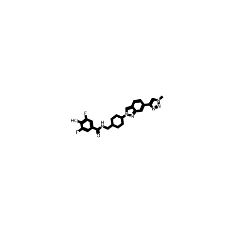 Cn1cc(-c2ccc3cn(C4CCC(CNC(=O)c5cc(F)c(O)c(F)c5)CC4)nc3c2)nn1